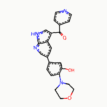 O=C(c1ccncc1)c1c[nH]c2ncc(-c3ccc(N4CCOCC4)c(O)c3)cc12